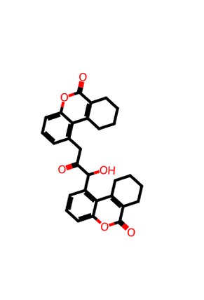 O=C(Cc1cccc2oc(=O)c3c(c12)CCCC3)C(O)c1cccc2oc(=O)c3c(c12)CCCC3